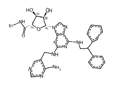 CCNC(=O)[C@H]1O[C@@H](n2cnc3c(NCC(c4ccccc4)c4ccccc4)nc(NCc4cncnc4N)nc32)[C@H](O)[C@@H]1O